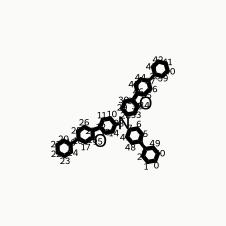 c1ccc(-c2ccc(N(c3ccc4c(c3)oc3cc(-c5ccccc5)ccc34)c3ccc4c(c3)oc3cc(-c5ccccc5)ccc34)cc2)cc1